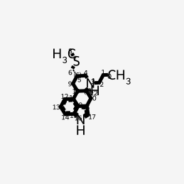 CCCN1C[C@@H](CSC)CC2c3cccc4[nH]cc(c34)C[C@H]21